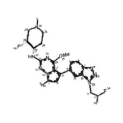 [2H]c1cc(-c2ccc3nnn(CC(F)F)c3c2)c2c(OC)nc(N[C@H]3CCN(C)C[C@H]3F)nn12